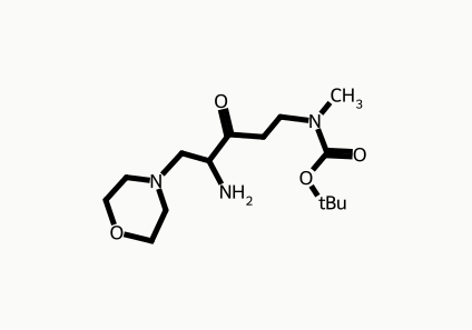 CN(CCC(=O)C(N)CN1CCOCC1)C(=O)OC(C)(C)C